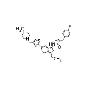 CCn1cc(NC(=O)NCc2ccc(F)cc2)c2cc(-c3nc(CN4CCC(C)CC4)cs3)ccc21